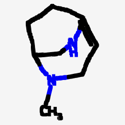 CN1CC=C2CCC1CN2